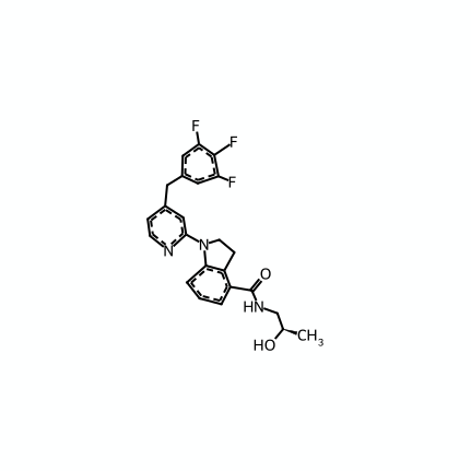 C[C@@H](O)CNC(=O)c1cccc2c1CCN2c1cc(Cc2cc(F)c(F)c(F)c2)ccn1